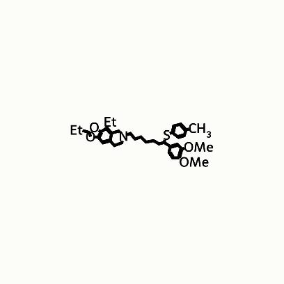 CCc1c2c(cc3c1OC(CC)O3)CCN(CCCCCCC(Sc1ccc(C)cc1)c1ccc(OC)c(OC)c1)C2